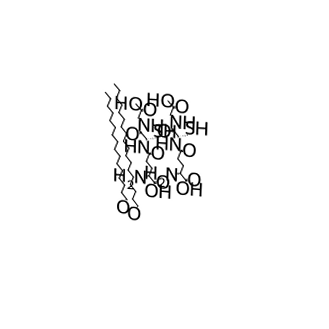 CCCCCCCCCCCCCCCC=O.CCCCCCCCCCCCCCCCCC=O.N[C@@H](CCC(=O)N[C@@H](CS)C(=O)NCC(=O)O)C(=O)O.N[C@@H](CCC(=O)N[C@@H](CS)C(=O)NCC(=O)O)C(=O)O